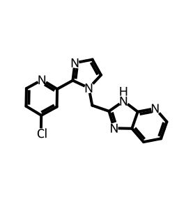 Clc1ccnc(-c2nccn2Cc2nc3cccnc3[nH]2)c1